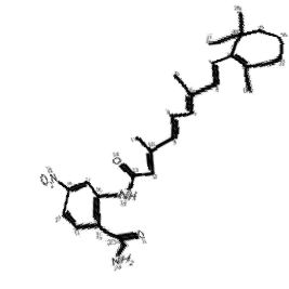 CC1=C(/C=C/C(C)=C/C=C/C(C)=C/C(=O)Nc2cc([N+](=O)[O-])ccc2C(N)=O)C(C)(C)CCC1